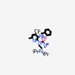 Cc1cc(C(F)(F)F)c(NCc2ccccc2)c(N(CCN(C(C)C)C(C)C)C(=O)N(C)C)n1